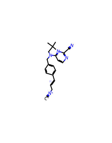 [C-]#[N+]C/C=C/c1ccc(CN(CC(C)(C)C)c2ccnc(C#N)n2)cc1